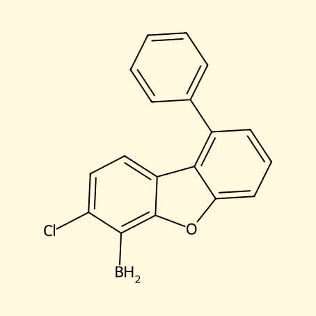 Bc1c(Cl)ccc2c1oc1cccc(-c3ccccc3)c12